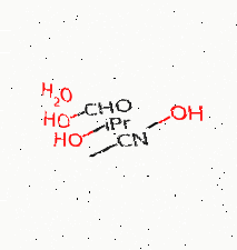 CC#N.CC(C)O.CO.O.O=CO